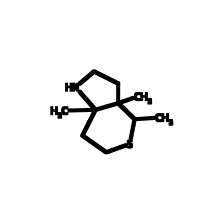 CC1SCCC2(C)NCCC12C